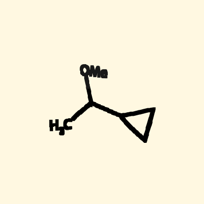 CO[C](C)C1CC1